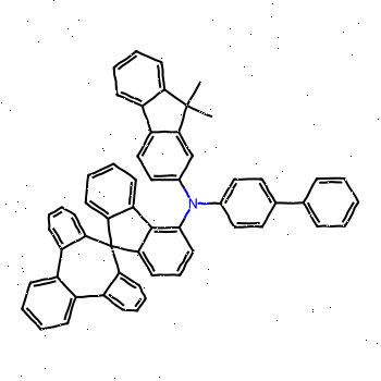 CC1(C)c2ccccc2-c2ccc(N(c3ccc(-c4ccccc4)cc3)c3cccc4c3-c3ccccc3C43c4ccccc4-c4ccccc4-c4ccccc43)cc21